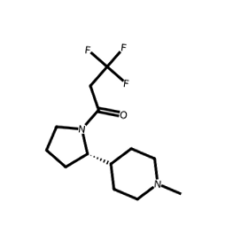 CN1CCC([C@@H]2CCCN2C(=O)CC(F)(F)F)CC1